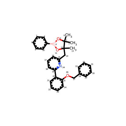 CC1(C)OB(c2ccccc2)OC1(C)Cc1cccc(-c2ccccc2OCc2ccccc2)n1